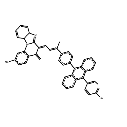 C=C(C#N)/C=C\C(=C/C)c1c2ccccc2c(-c2ccc(/C(C)=C/C=C3\C(=C)c4ccc(C#N)cc4N4C3=NC3C=CC=CC34)cc2)c2ccccc12